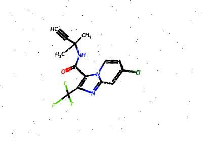 C#CC(C)(C)NC(=O)c1c(C(F)(F)F)nc2cc(Cl)ccn12